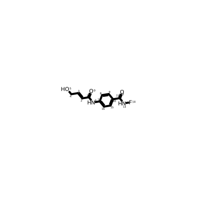 O=C(/C=C/CO)Nc1ccc(C(=O)NF)cc1